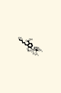 CCCCCCc1c(C(=O)O)ccc(O[Si](C)(C)C(C)(C)C)c1OC